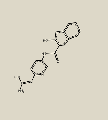 NC(N)=Nc1ccc(NC(=O)c2cc3ccccc3cc2O)cn1